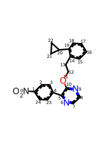 O=[N+]([O-])c1ccc(-c2nccnc2OCCc2ccccc2C2CC2)cc1